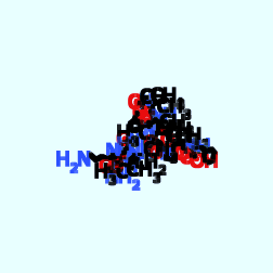 C=C(NC(CCCNC(N)=O)C(=O)Nc1ccc(COC(=O)N(C)[C@H](C(=O)N[C@H](C(=O)N(C)[C@@H]([C@@H](C)CC)[C@@H](CC(=O)N2CCC[C@H]2[C@H](OC)[C@@H](C)C(=O)N[C@@H](Cc2ccccc2)C(=O)O)OC)C(C)C)C(C)C)cc1)[C@@H](NC(=O)C(N)CCCCN)C(C)C